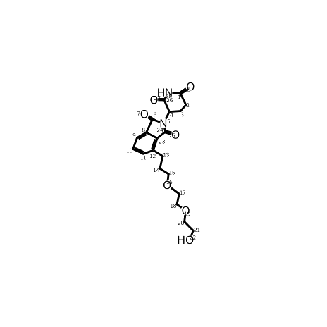 O=C1CCC(N2C(=O)c3cccc(CCCOCCOCCO)c3C2=O)C(=O)N1